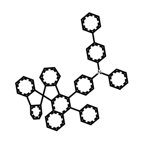 c1ccc(-c2ccc(N(c3ccccc3)c3ccc(-c4c5c(c6ccccc6c4-c4ccccc4)C4(c6ccccc6-c6ccccc64)c4ccccc4-5)cc3)cc2)cc1